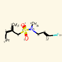 C=C(CC(C)C)CS(=O)(=O)N(C)CC=CF